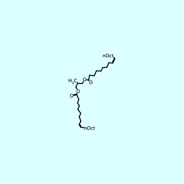 CCCCCCCC/C=C\CCCCCCCC(=O)OCC(C)COC(=O)CCCCCCC/C=C\CCCCCCCC